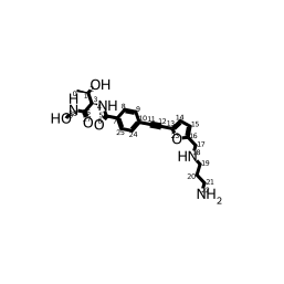 C[C@@H](O)[C@H](NC(=O)c1ccc(C#Cc2ccc(CNCCCN)o2)cc1)C(=O)NO